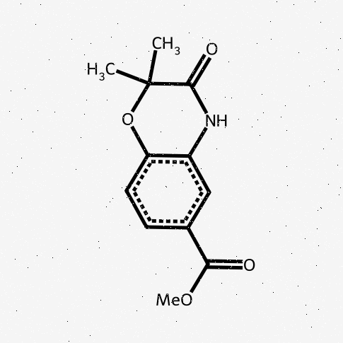 COC(=O)c1ccc2c(c1)NC(=O)C(C)(C)O2